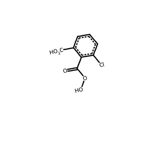 O=C(O)c1cccc(Cl)c1C(=O)OO